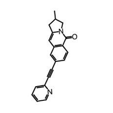 CC1Cc2cc3cc(C#Cc4ccccn4)ccc3c(=O)n2C1